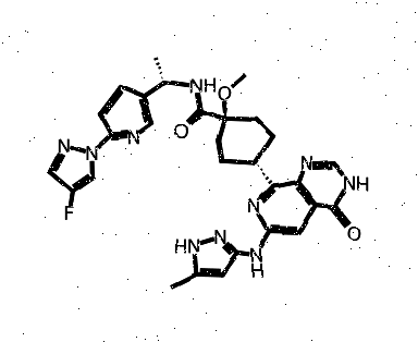 CO[C@]1(C(=O)N[C@@H](C)c2ccc(-n3cc(F)cn3)nc2)CC[C@@H](c2nc(Nc3cc(C)[nH]n3)cc3c(=O)[nH]cnc32)CC1